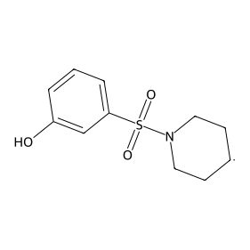 O=S(=O)(c1cccc(O)c1)N1CC[CH]CC1